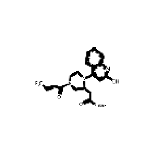 COC(=O)CC1CN(C(=O)/C=C/C(F)(F)F)CCN1c1cc(C)nc2ccccc12